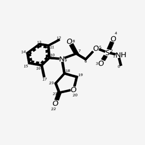 CNS(=O)(=O)OCC(=O)N(c1c(C)cccc1C)C1COC(=O)C1